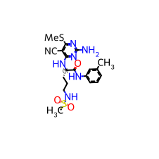 CSc1nc(N)nc(N[C@@H](CCCNS(C)(=O)=O)C(=O)Nc2cccc(C)c2)c1C#N